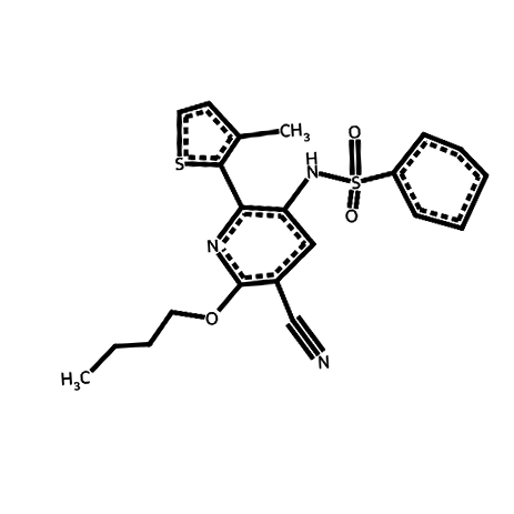 CCCCOc1nc(-c2sccc2C)c(NS(=O)(=O)c2ccccc2)cc1C#N